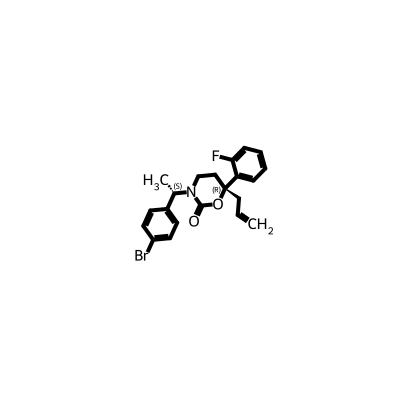 C=CC[C@]1(c2ccccc2F)CCN([C@@H](C)c2ccc(Br)cc2)C(=O)O1